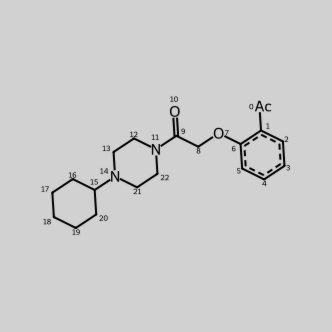 CC(=O)c1ccccc1OCC(=O)N1CCN(C2CCCCC2)CC1